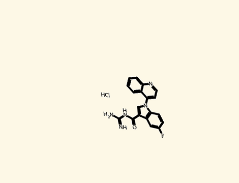 Cl.N=C(N)NC(=O)c1cn(-c2ccnc3ccccc23)c2ccc(F)cc12